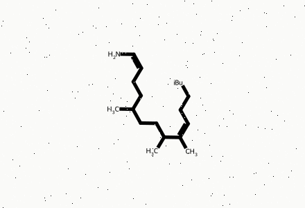 CCC(C)CC/C=C(/C)C(C)CCC(C)CC/C=C\N